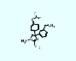 CCc1cccc(C2(c3ccc(OC(F)F)cc3)CN(C)C(N)=N2)c1